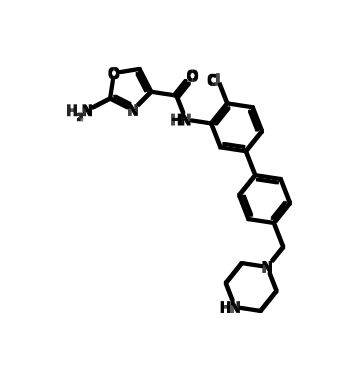 Nc1nc(C(=O)Nc2cc(-c3ccc(CN4CCNCC4)cc3)ccc2Cl)co1